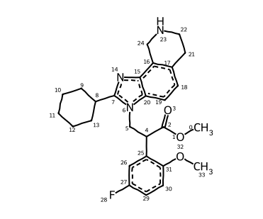 COC(=O)C(Cn1c(C2CCCCC2)nc2c3c(ccc21)CCNC3)c1cc(F)ccc1OC